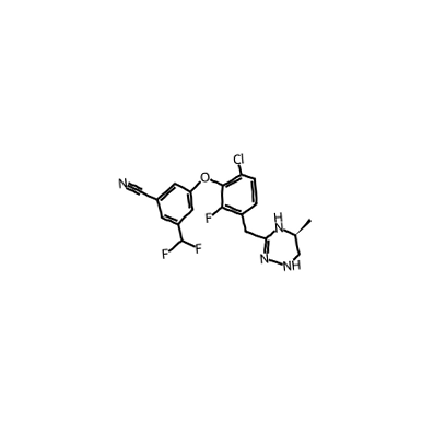 C[C@H]1CNN=C(Cc2ccc(Cl)c(Oc3cc(C#N)cc(C(F)F)c3)c2F)N1